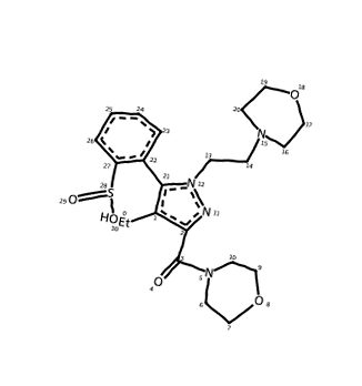 CCc1c(C(=O)N2CCOCC2)nn(CCN2CCOCC2)c1-c1ccccc1S(=O)O